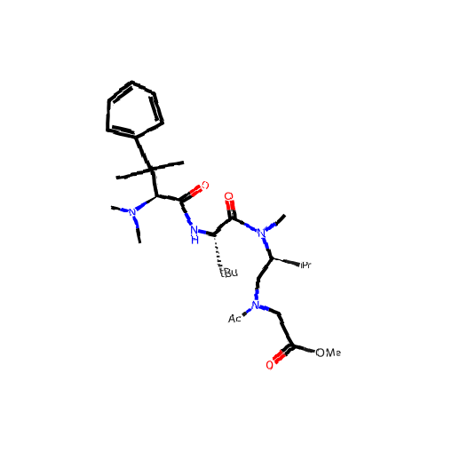 COC(=O)CN(C[C@H](C(C)C)N(C)C(=O)[C@@H](NC(=O)[C@@H](N(C)C)C(C)(C)c1ccccc1)C(C)(C)C)C(C)=O